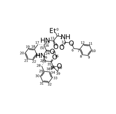 CCC(NC(=O)OCc1ccccc1)C(=O)N[C@@H](Cc1ccccc1)C(=O)N[C@@H](Cc1ccccc1)C(=O)[C@@]1(C)CO1